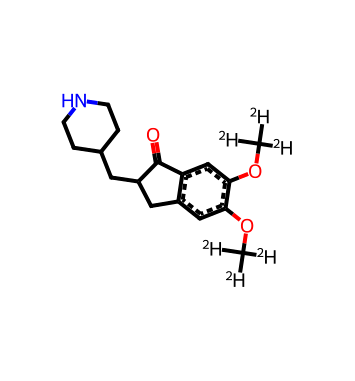 [2H]C([2H])([2H])Oc1cc2c(cc1OC([2H])([2H])[2H])C(=O)C(CC1CCNCC1)C2